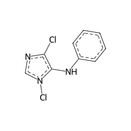 Clc1ncn(Cl)c1Nc1ccccc1